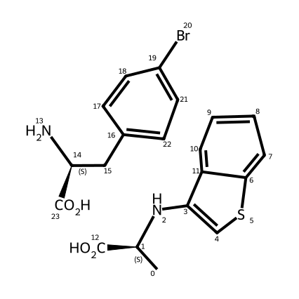 C[C@H](Nc1csc2ccccc12)C(=O)O.N[C@@H](Cc1ccc(Br)cc1)C(=O)O